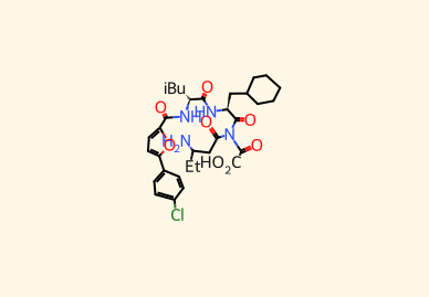 CCC(N)CC(=O)N(C(=O)C(=O)O)C(=O)[C@H](CC1CCCCC1)NC(=O)[C@@H](NC(=O)c1ccc(-c2ccc(Cl)cc2)o1)[C@@H](C)CC